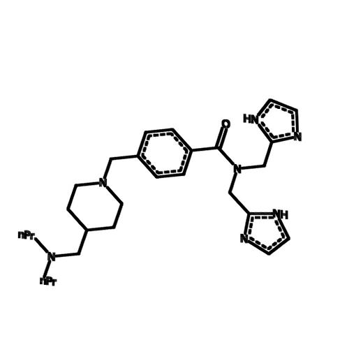 CCCN(CCC)CC1CCN(Cc2ccc(C(=O)N(Cc3ncc[nH]3)Cc3ncc[nH]3)cc2)CC1